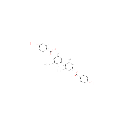 Cc1cc(-c2c(C)cc(OC(=O)c3ccc(O)cc3)cc2C)cc(C)c1OC(=O)c1ccc(O)cc1